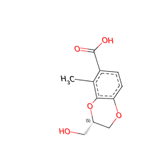 Cc1c(C(=O)O)ccc2c1O[C@@H](CO)CO2